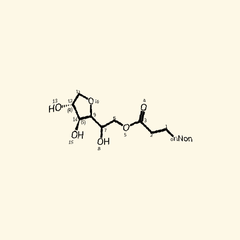 CCCCCCCCCCCC(=O)OCC(O)C1OC[C@@H](O)[C@@H]1O